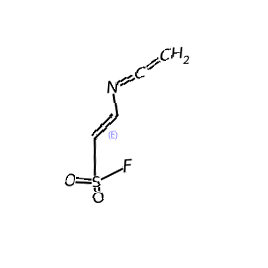 C=C=N/C=C/S(=O)(=O)F